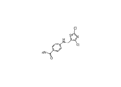 CCCC(=O)c1ccc(NCc2sc(Cl)nc2Cl)cc1